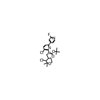 CC(C)(C)OC(=O)N(CC1CCOC(C)(C)C1Cl)c1nc(-c2ccnc(F)c2)ccc1Cl